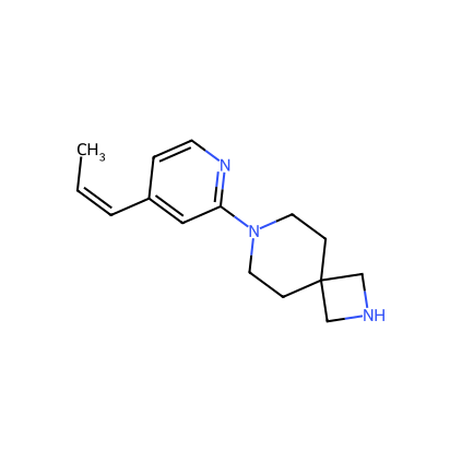 C/C=C\c1ccnc(N2CCC3(CC2)CNC3)c1